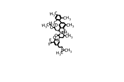 CCOC(=O)C[C@H](NC(=O)C(CC(C)C)n1cc(CCN(C)C)cc(C(F)F)c1=O)c1cc(-c2c(C)cc(C)cc2C)cc(C)c1F